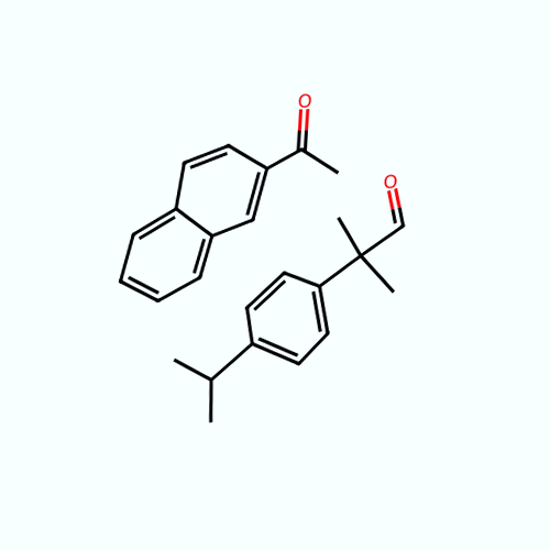 CC(=O)c1ccc2ccccc2c1.CC(C)c1ccc(C(C)(C)C=O)cc1